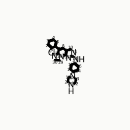 Clc1ccccc1C1=Cc2cnc(Nc3ccc(N4CCNCC4)cc3)nc2N2CCN=C12